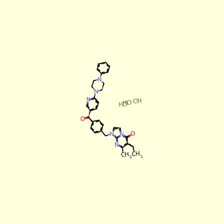 CCc1c(C)nc2n(Cc3ccc(C(=O)c4ccc(N5CCN(c6ccccc6)CC5)nc4)cc3)ccn2c1=O.Cl.Cl.Cl